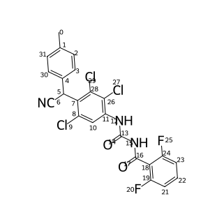 Cc1ccc(C(C#N)c2c(Cl)cc(NC(=O)NC(=O)c3c(F)cccc3F)c(Cl)c2Cl)cc1